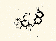 O=c1ccc2ccc(O[C@@H]3O[C@H](CO)[C@@](O)(C(F)(F)F)[C@H](O)[C@H]3O)cc2o1